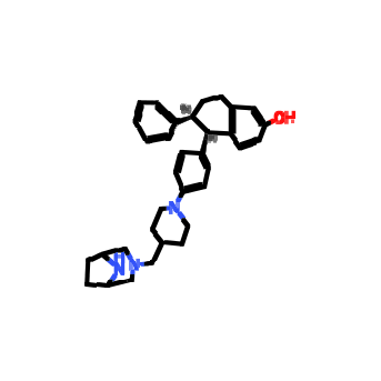 Oc1ccc2c(c1)CC[C@H](c1ccccc1)[C@@H]2c1ccc(N2CCC(CN3CC4CCC(C3)N4)CC2)cc1